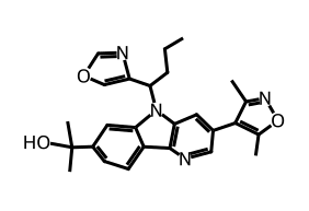 CCCC(c1cocn1)n1c2cc(C(C)(C)O)ccc2c2ncc(-c3c(C)noc3C)cc21